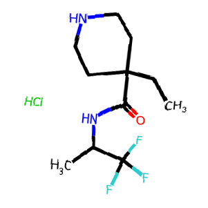 CCC1(C(=O)NC(C)C(F)(F)F)CCNCC1.Cl